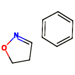 C1=NOCC1.c1ccccc1